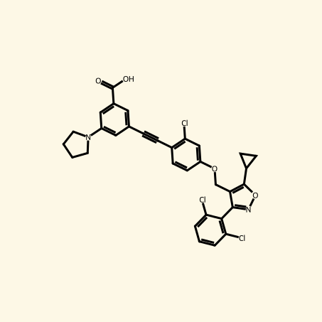 O=C(O)c1cc(C#Cc2ccc(OCc3c(-c4c(Cl)cccc4Cl)noc3C3CC3)cc2Cl)cc(N2CCCC2)c1